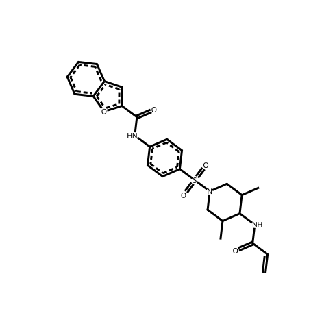 C=CC(=O)NC1C(C)CN(S(=O)(=O)c2ccc(NC(=O)c3cc4ccccc4o3)cc2)CC1C